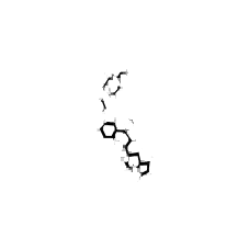 CCN1CCN(CCOc2ccc3oc(-c4cc5cccn5cn4)cc(=O)c3c2)CC1